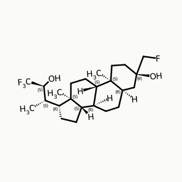 C[C@@H]([C@H]1CC[C@H]2[C@@H]3CC[C@@H]4C[C@@](O)(CF)CC[C@]4(C)[C@H]3CC[C@]12C)[C@H](O)C(F)(F)F